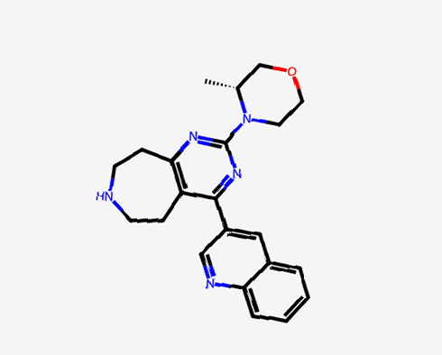 C[C@@H]1COCCN1c1nc2c(c(-c3cnc4ccccc4c3)n1)CCNCC2